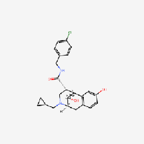 O=C(NCc1ccc(Cl)cc1)[C@@H]1C[C@]23CCN(CC4CC4)[C@H](Cc4ccc(O)cc42)[C@]3(O)C1